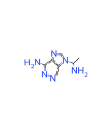 CC(N)n1cnc2c(N)nncc21